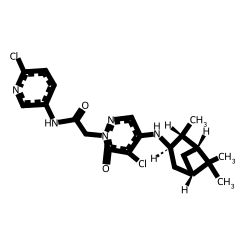 C[C@@H]1[C@H]2C[C@@H](C[C@H]1Nc1cnn(CC(=O)Nc3ccc(Cl)nc3)c(=O)c1Cl)C2(C)C